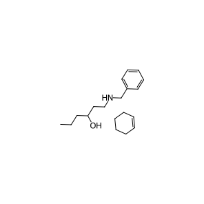 C1=CCCCC1.CCCC(O)CCNCc1ccccc1